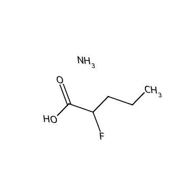 CCCC(F)C(=O)O.N